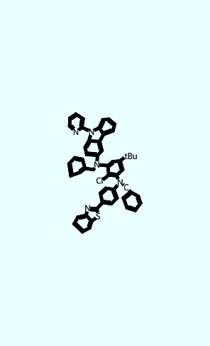 CC(C)(C)c1cc(N(Cc2ccccc2)c2ccc(-c3nc4ccccc4s3)cc2)c(Cl)c(N(Cc2ccccc2)c2ccc3c(c2)c2ccccc2n3-c2ccccn2)c1